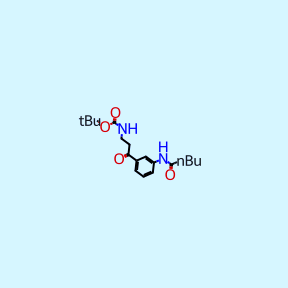 CCCCC(=O)Nc1cccc(C(=O)CCNC(=O)OC(C)(C)C)c1